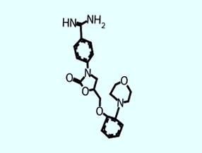 N=C(N)c1ccc(N2CC(COc3ccccc3N3CCOCC3)OC2=O)cc1